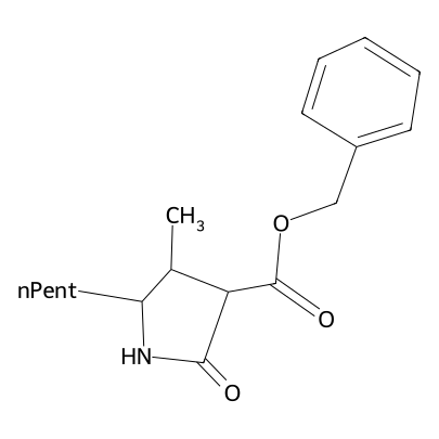 CCCCCC1NC(=O)C(C(=O)OCc2ccccc2)C1C